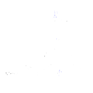 COc1ccc2c(N3CCNCC3)cc(=O)[nH]c2c1